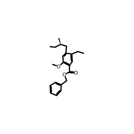 CCc1cc(C(=O)OCc2ccccc2)c(OC)cc1C[C@H](C)CC